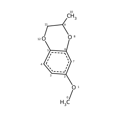 COc1ccc2c(c1)OC(C)CO2